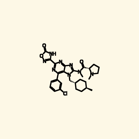 CN(C(=O)[C@@H]1CCCN1C)c1nc2nc(-c3noc(=O)[nH]3)nc(-c3cccc(Cl)c3)c2n1C[C@H]1CC[C@H](C)CC1